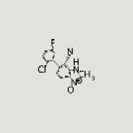 CNc1c([N+](=O)[O-])ccc(-c2cc(F)ccc2Cl)c1C#N